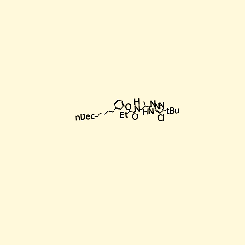 CCCCCCCCCCCCCCCc1cccc(OC(CC)C(=O)NCC(C)c2nn3nc(C(C)(C)C)c(Cl)c3[nH]2)c1